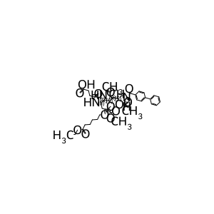 CCOC(=O)CCCCCO[C@]1(C(=O)OC)C[C@H](NC(=O)CCC(=O)O)[C@@H](NC(C)=O)[C@H]([C@H](C)[C@@H](CNC(=O)c2ccc(-c3ccccc3)cc2)OC(C)=O)O1